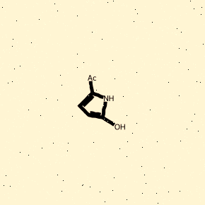 CC(=O)c1ccc(O)[nH]1